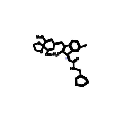 COC1=CC(=CC2=C(C)/C(=C/C(=O)NCc3ccccc3)c3cc(F)ccc32)C=C(OC)C12OCCO2